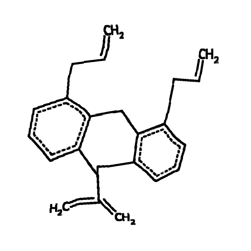 C=CCc1cccc(CC=C)c1Cc1c(CC=C)cccc1CC=C